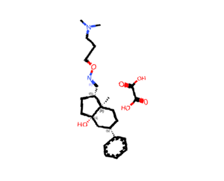 CN(C)CCCO/N=C/[C@H]1CC[C@]2(O)C[C@@H](c3ccccc3)CC[C@]12C.O=C(O)C(=O)O